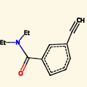 C#Cc1cccc(C(=O)N(CC)CC)c1